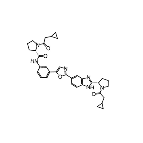 O=C(Nc1cccc(-c2cnc(-c3ccc4[nH]c([C@@H]5CCCN5C(=O)CC5CC5)nc4c3)o2)c1)[C@@H]1CCCN1C(=O)CC1CC1